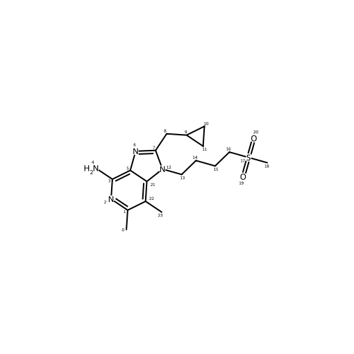 Cc1nc(N)c2nc(CC3CC3)n(CCCCS(C)(=O)=O)c2c1C